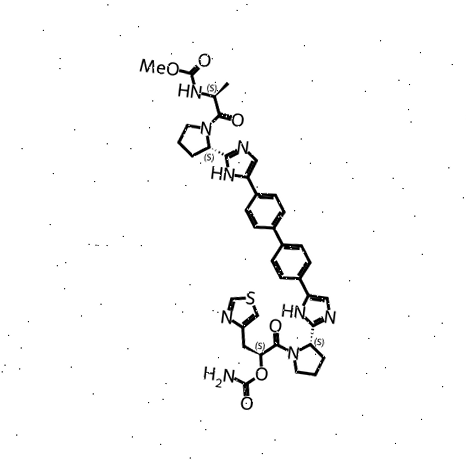 COC(=O)N[C@@H](C)C(=O)N1CCC[C@H]1c1ncc(-c2ccc(-c3ccc(-c4cnc([C@@H]5CCCN5C(=O)[C@H](Cc5cscn5)OC(N)=O)[nH]4)cc3)cc2)[nH]1